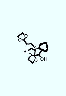 OC(c1ccccc1SCCC1OCCO1)C1(CCBr)OCCO1